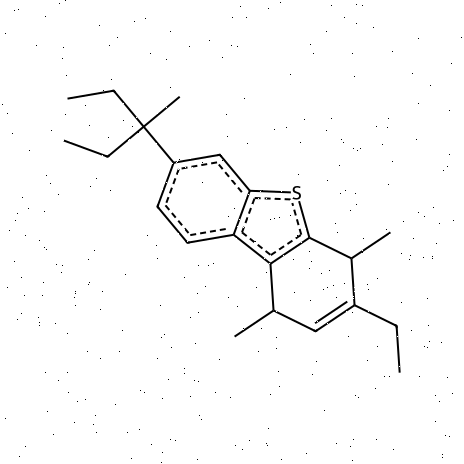 CCC1=CC(C)c2c(sc3cc(C(C)(CC)CC)ccc23)C1C